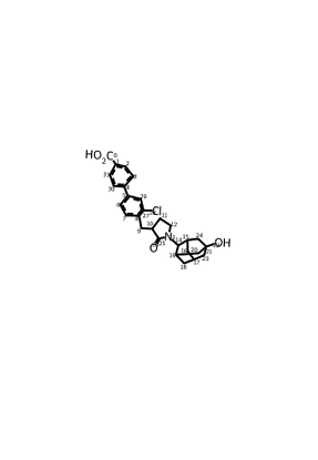 O=C(O)c1ccc(-c2ccc(CC3CCN(C4C5CC6CC4CC(O)(C6)C5)C3=O)c(Cl)c2)cc1